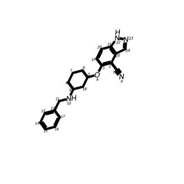 N#Cc1c(OC2CCCC(NCc3ccccc3)C2)ccc2[nH]ncc12